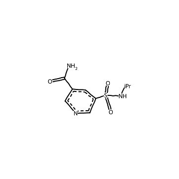 CC(C)NS(=O)(=O)c1cncc(C(N)=O)c1